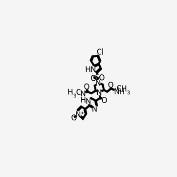 CNC(=O)CC1CN(S(=O)(=O)c2cc3cc(Cl)ccc3[nH]2)CC(CC(=O)NC)N1C(=O)c1cnc(-c2cc[n+]([O-])cc2)nc1